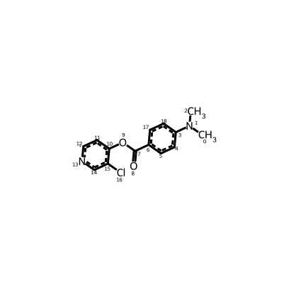 CN(C)c1ccc(C(=O)Oc2c[c]ncc2Cl)cc1